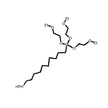 CCCCCCCCCCCCCCCCCCCC[Si](OCCOCC)(OCCOCC)OCCOCC